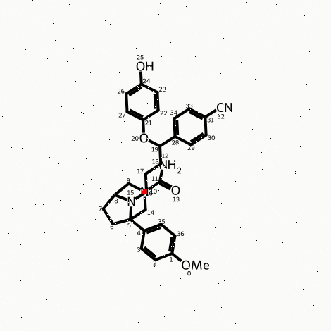 COc1ccc(C23CCC(CN(C(N)=O)C2)N3CCCC(Oc2ccc(O)cc2)c2ccc(C#N)cc2)cc1